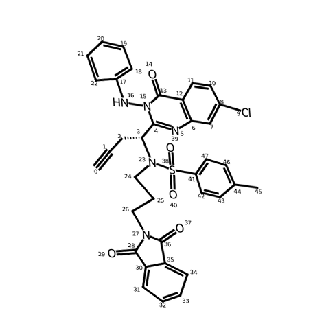 C#CC[C@H](c1nc2cc(Cl)ccc2c(=O)n1Nc1ccccc1)N(CCCN1C(=O)c2ccccc2C1=O)S(=O)(=O)c1ccc(C)cc1